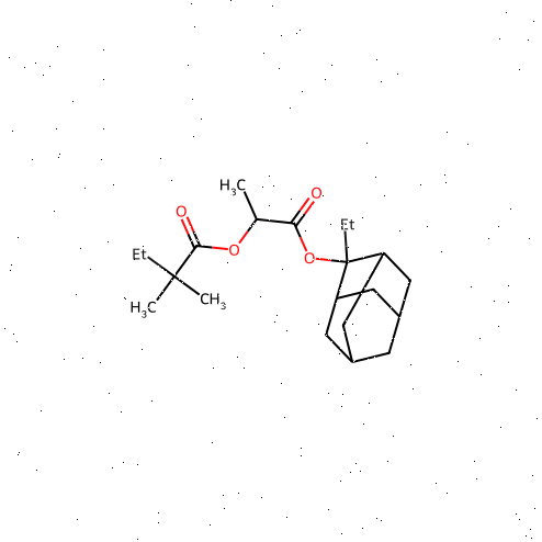 CCC(C)(C)C(=O)OC(C)C(=O)OC1(CC)C2CC3CC(C2)CC1C3